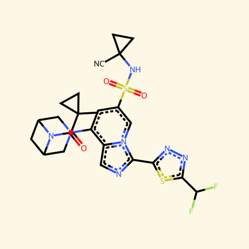 CC1(C(=O)N2C3CC2CN(c2cc(S(=O)(=O)NC4(C#N)CC4)cn4c(-c5nnc(C(F)F)s5)ncc24)C3)CC1